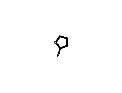 F[C@@H]1CCCO1